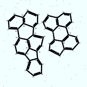 c1cc2cccc3c4cccc5cccc(c(c1)c23)c54.c1ccc2c(c1)-c1ccc3c4cccc5cccc(c6ccc-2c1c36)c54